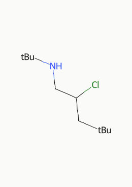 CC(C)(C)CC(Cl)CNC(C)(C)C